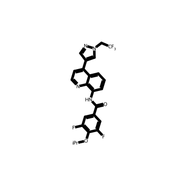 CC(C)Oc1c(F)cc(C(=O)Nc2cccc3c(-c4cnn(CC(F)(F)F)c4)ccnc23)cc1F